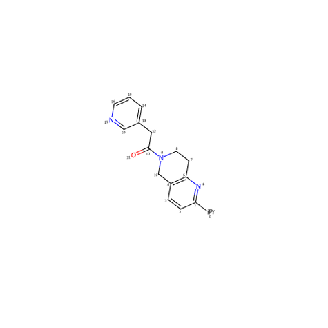 CC(C)c1ccc2c(n1)CCN(C(=O)Cc1cccnc1)C2